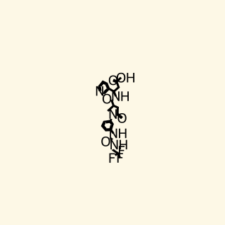 O=C(O)CC(NC(=O)C1CC(=O)N(c2cccc(NC(=O)NCC(F)(F)F)c2)C1)c1cccnc1